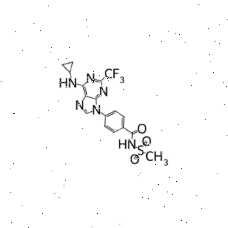 CS(=O)(=O)NC(=O)c1ccc(-n2cnc3c(NC4CC4)nc(C(F)(F)F)nc32)cc1